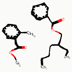 CCCCC(CC)COC(=O)c1ccccc1.COC(=O)c1ccccc1C